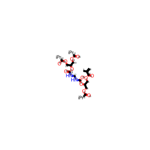 C=C(C)C(=O)OCC(COC(=O)C(C)C)OC(=O)NCNC(=O)OC(COC(=O)C(C)C)COC(=O)C(C)C